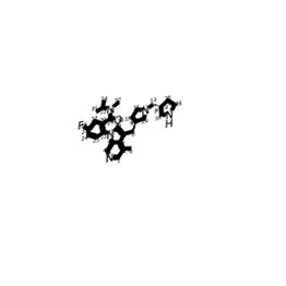 Cc1cncc2c1c(C[C@H]1CCN(C[C@@H]3CCNC3)C1)cn2-c1ccc(F)cc1C(=O)N(C)C(C)C